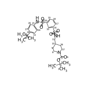 CC(C)(C)OC(=O)N1CCC(CNS(=O)(=O)c2cccc(S(=O)(=O)Nc3ccc(C(C)(C)C)cc3)c2)CC1